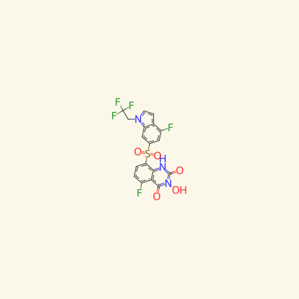 O=c1[nH]c2c(S(=O)(=O)c3cc(F)c4ccn(CC(F)(F)F)c4c3)ccc(F)c2c(=O)n1O